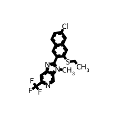 CCSc1cc2cc(Cl)ccc2cc1-c1nc2cc(C(F)(F)F)ncc2n1C